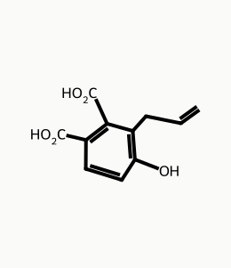 C=CCc1c(O)ccc(C(=O)O)c1C(=O)O